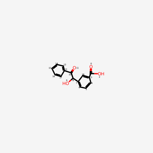 O=C(O)c1cccc(C(O)C(=O)c2ccccc2)c1